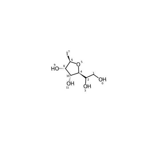 OCC(O)[C@@H]1O[C@H](I)[C@@H](O)[C@H]1O